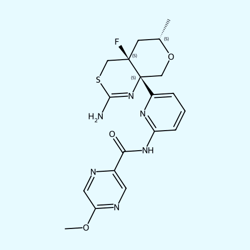 COc1cnc(C(=O)Nc2cccc([C@]34CO[C@@H](C)C[C@@]3(F)CSC(N)=N4)n2)cn1